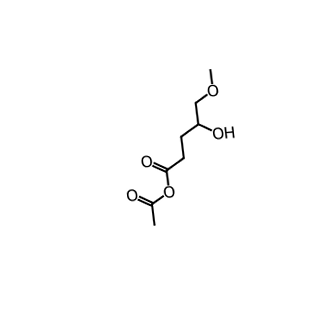 COCC(O)CCC(=O)OC(C)=O